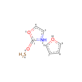 O=c1[nH]cco1.S.c1ccoc1